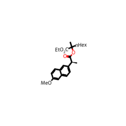 CCCCCCC(C)(OC(=O)[C@@H](C)c1ccc2cc(OC)ccc2c1)C(=O)OCC